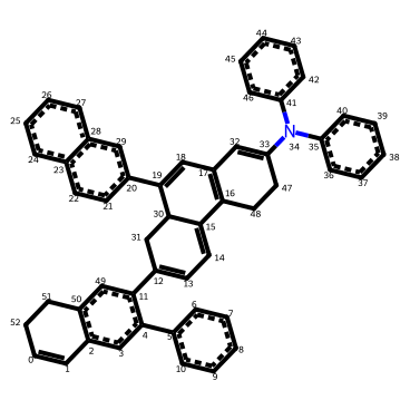 C1=Cc2cc(-c3ccccc3)c(C3=CC=C4C5=C(C=C(c6ccc7ccccc7c6)C4C3)C=C(N(c3ccccc3)c3ccccc3)CC5)cc2CC1